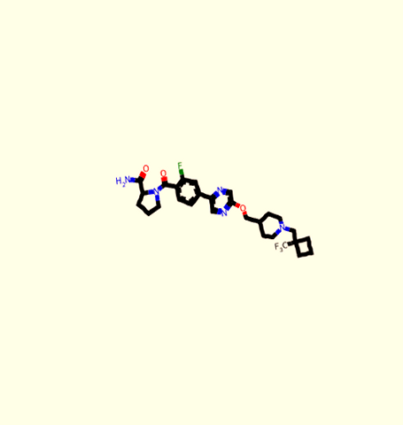 NC(=O)C1CCCN1C(=O)c1ccc(-c2cnc(OCC3CCN(CC4(C(F)(F)F)CCC4)CC3)cn2)cc1F